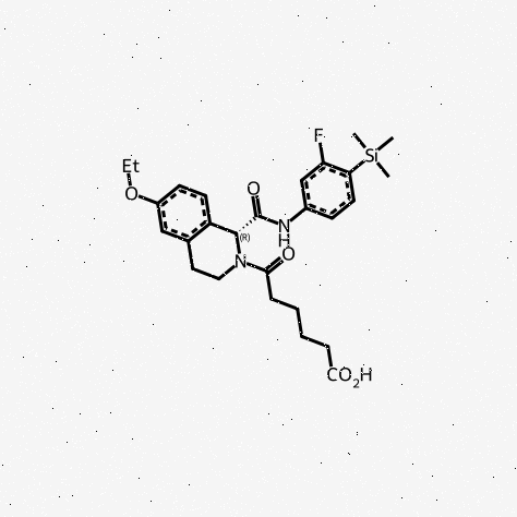 CCOc1ccc2c(c1)CCN(C(=O)CCCCC(=O)O)[C@H]2C(=O)Nc1ccc([Si](C)(C)C)c(F)c1